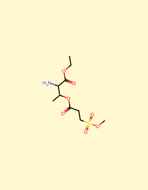 CCOC(=O)C(N)C(C)OC(=O)CCS(=O)(=O)OC